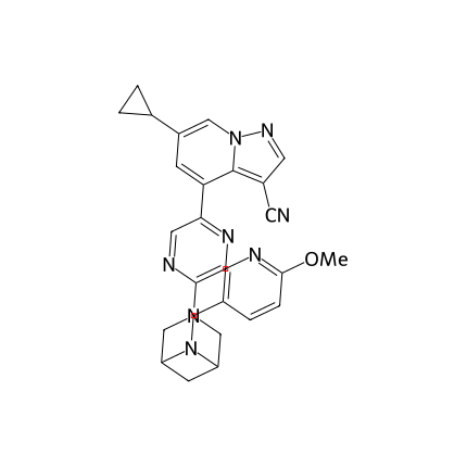 COc1ccc(CN2C3CC2CN(c2cnc(-c4cc(C5CC5)cn5ncc(C#N)c45)cn2)C3)cn1